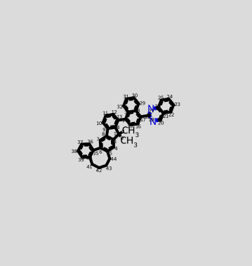 CC1(C)c2cc3c(cc2-c2cccc(-c4ccc(-c5ncc6ccccc6n5)c5ccccc45)c21)-c1ccccc1CCCC3